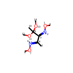 CO/N=C(/C(C)=N/OC)C(C)(OC)OC